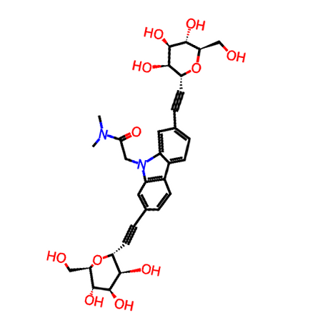 CN(C)C(=O)Cn1c2cc(C#C[C@H]3O[C@H](CO)[C@@H](O)[C@H](O)[C@@H]3O)ccc2c2ccc(C#C[C@H]3O[C@H](CO)[C@@H](O)[C@H](O)[C@@H]3O)cc21